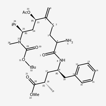 C=C(SCC(N)C(=O)N[C@@H](Cc1ccccc1)C[C@H](C)C(=O)OC)[C@@H](C[C@H](C(C)C)N(C)C(=O)OC(C)(C)C)OC(C)=O